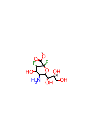 COC(=O)C1(F)OC([C@H](O)[C@H](O)CO)C(N)C(O)C1F